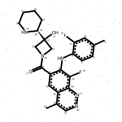 Cc1ccc(Nc2c(C(=O)N3CC(O)([C@@H]4CCCCN4)C3)cc3c(C)cnnc3c2F)c(F)c1